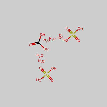 O.O.O.O.O.O=C(O)O.O=S(=O)(O)O.O=S(=O)(O)O